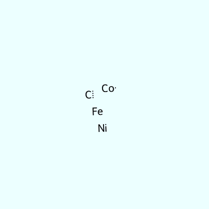 [C].[Co].[Fe].[Ni]